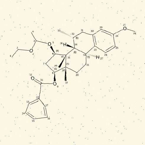 CCOC(C)O[C@@H]1C[C@H](OC(=O)c2ccccc2)[C@@]2(C)CC[C@@H]3c4ccc(OC)cc4C[C@@H](C)[C@H]3[C@@]12C